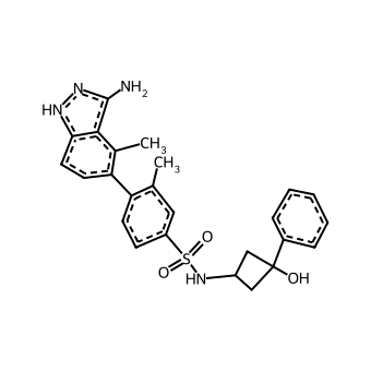 Cc1cc(S(=O)(=O)NC2CC(O)(c3ccccc3)C2)ccc1-c1ccc2[nH]nc(N)c2c1C